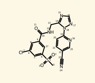 CS(=O)(=O)c1cc(Cl)cc(C(=O)NCc2ncnn2-c2ccc(C#N)cn2)c1